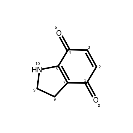 O=C1C=CC(=O)C2=C1CCN2